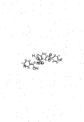 Cc1ccc(S(=O)(=O)c2ccc(F)cc2)cc1S(=O)(=O)NCC(O)c1cccnc1